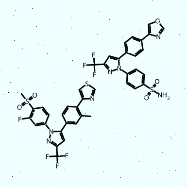 Cc1cc(-c2cc(C(F)(F)F)nn2-c2ccc(S(C)(=O)=O)c(F)c2)ccc1-c1cscn1.NS(=O)(=O)c1ccc(-n2nc(C(F)(F)F)cc2-c2ccc(-c3cocn3)cc2)cc1